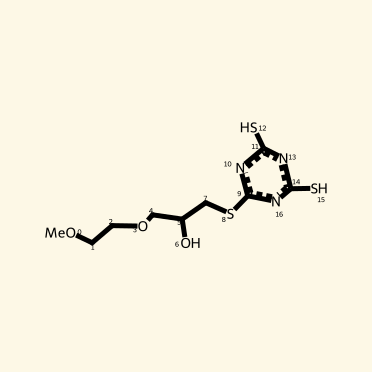 COCCOCC(O)CSc1nc(S)nc(S)n1